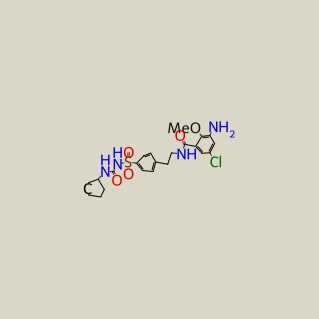 COc1c(N)cc(Cl)cc1C(=O)NCCc1ccc(S(=O)(=O)NC(=O)NC2CCCCC2)cc1